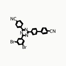 N#Cc1ccc(-c2ccc(-c3nc(-c4ccc(C#N)cc4)nc(-c4cc(Br)cc(Br)c4)n3)cc2)cc1